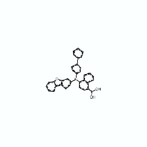 OB(O)c1ccc(N(c2ccc(-c3ccccc3)cc2)c2ccc3c(c2)oc2ccccc23)c2ccccc12